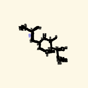 CCC/C(C)=C/C(COC)NN(C)CC(=O)NC